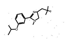 CC(C)Oc1cccc(C2=NC(CC(C)(C)F)CN2C)c1